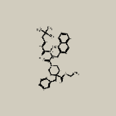 CCOC(=O)C1(Cc2ccccc2)CCN(C(=O)C(Cc2ccc3ccccc3c2)N(C)C(=O)/C=C/CC(C)(C)N)CC1